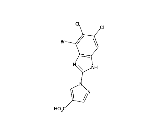 O=C(O)c1cnn(-c2nc3c(Br)c(Cl)c(Cl)cc3[nH]2)c1